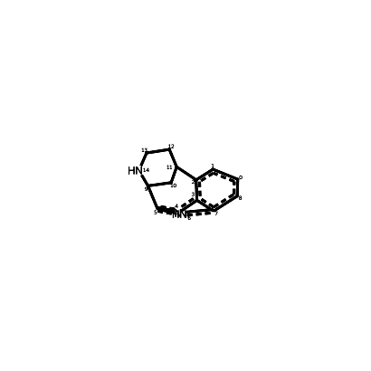 c1cc2c3nc([nH]c3c1)C1CC2CCN1